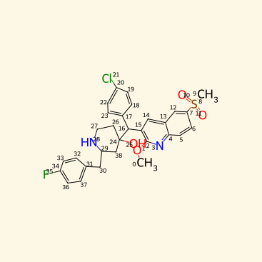 COc1nc2ccc(S(C)(=O)=O)cc2cc1C(c1ccc(Cl)cc1)C1(O)CCNC(Cc2ccc(F)cc2)C1